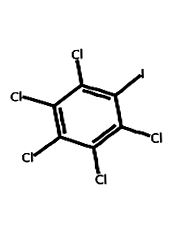 Clc1c(Cl)c(Cl)c(I)c(Cl)c1Cl